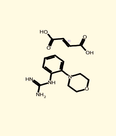 N=C(N)Nc1ccccc1N1CCOCC1.O=C(O)/C=C/C(=O)O